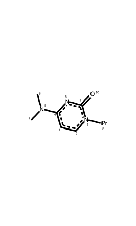 CC(C)n1ccc(N(C)C)nc1=O